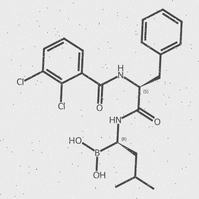 CC(C)C[C@H](NC(=O)[C@H](Cc1ccccc1)NC(=O)c1cccc(Cl)c1Cl)B(O)O